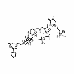 C=C(Br)C[C@H](CC[C@@]12C[C@H]3O[C@H]4C(O1)[C@H]1O[C@@H](CC(=O)CC5C(C[C@H]6O[C@@H](CCCO[Si](CC)(CC)CC)C[C@@H](C)C6=C)O[C@H](C[C@H](C)CO[Si](C)(C)C(C)(C)C)[C@@H]5C)CC[C@@H]1O[C@H]4[C@H]3O2)OC(=O)c1ccccc1